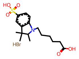 Br.CC1N(CCCCCC(=O)O)c2ccc(S(=O)(=O)O)cc2C1(C)C